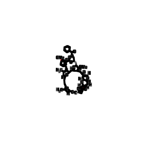 C=C1C[C@@H]2CC[C@@]34CC5O[C@H]6[C@@H](O3)[C@H]3O[C@H](CC[C@@H]3O[C@H]6[C@H]5O4)CC(=O)C[C@@H]3[C@@H](OC)[C@@H](C[C@@H](COC(=O)c4ccccc4)OC(=O)c4ccccc4)O[C@H]3C[C@H]3O[C@@H](CCC1O2)CC(C)=C3COC(=O)COC